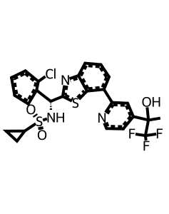 CC(O)(c1ccnc(-c2cccc3nc([C@H](NS(=O)(=O)C4CC4)c4ccccc4Cl)sc23)c1)C(F)(F)F